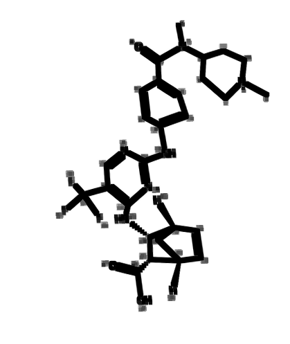 CN1CCC(N(C)C(=O)c2ccc(Nc3ncc(C(F)(F)F)c(N[C@H]4[C@@H](C(=O)O)[C@H]5C=C[C@@H]4C5)n3)cc2)CC1